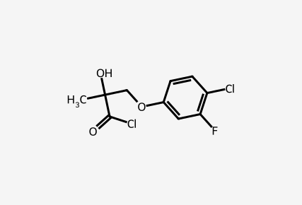 CC(O)(COc1ccc(Cl)c(F)c1)C(=O)Cl